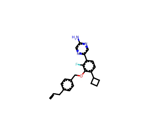 C=CCc1ccc(COc2c(C3CCC3)ccc(-c3cnc(N)cn3)c2F)cc1